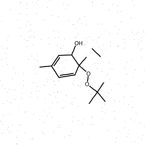 CC.CC1=CC(O)C(C)(OOC(C)(C)C)C=C1